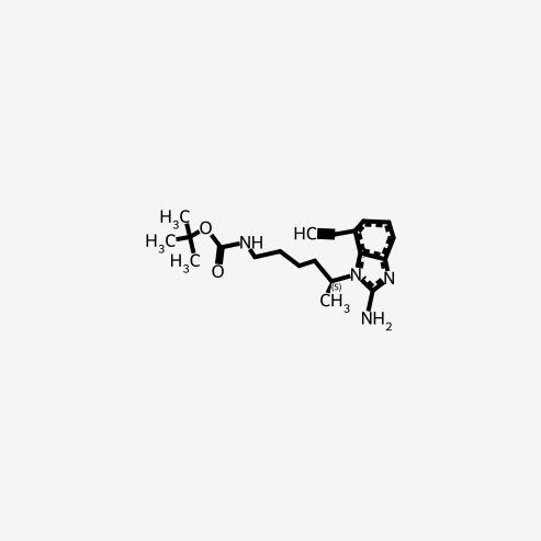 C#Cc1cccc2nc(N)n([C@@H](C)CCCCNC(=O)OC(C)(C)C)c12